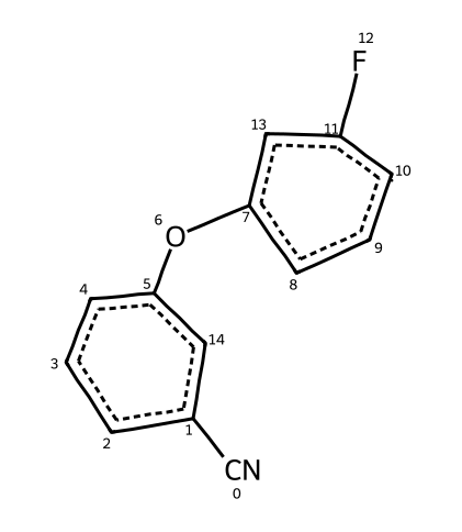 N#Cc1cccc(Oc2cc[c]c(F)c2)c1